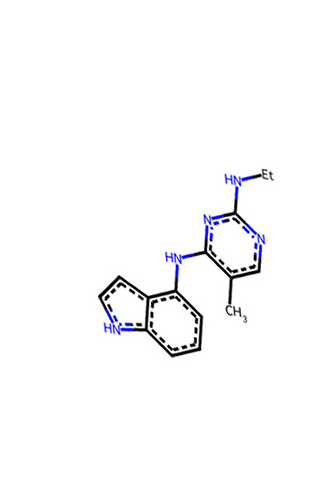 CCNc1ncc(C)c(Nc2cccc3[nH]ccc23)n1